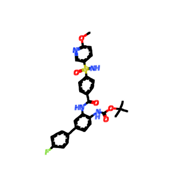 COc1ccc(S(=N)(=O)c2ccc(C(=O)Nc3cc(-c4ccc(F)cc4)ccc3NC(=O)OC(C)(C)C)cc2)cn1